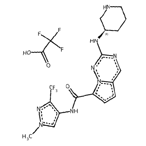 Cn1cc(NC(=O)c2ccc3cnc(N[C@@H]4CCCNC4)nn23)c(C(F)(F)F)n1.O=C(O)C(F)(F)F